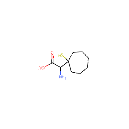 NC(C(=O)O)C1(S)CCCCCC1